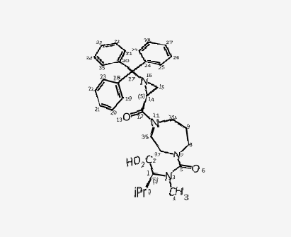 CC(C)[C@@H](C(=O)O)N(C)C(=O)N1CCCN(C(=O)[C@@H]2CN2C(c2ccccc2)(c2ccccc2)c2ccccc2)CC1